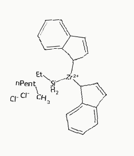 CCCCCC.CC[SiH2][Zr+2]([CH]1C=Cc2ccccc21)[CH]1C=Cc2ccccc21.[Cl-].[Cl-]